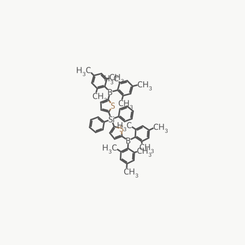 Cc1cc(C)c(B(c2ccc([Si](c3ccccc3)(c3ccccc3)c3ccc(B(c4c(C)cc(C)cc4C)c4c(C)cc(C)cc4C)s3)s2)c2c(C)cc(C)cc2C)c(C)c1